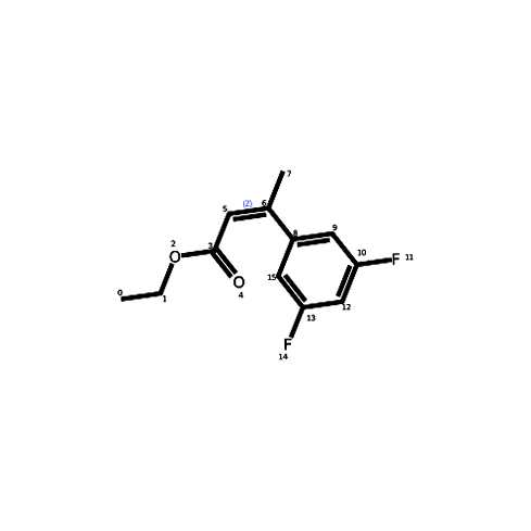 CCOC(=O)/C=C(/C)c1cc(F)cc(F)c1